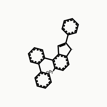 CCCc1ccc2c(c1-c1ccccc1-c1ccccc1)C=C(c1ccccc1)[CH]2